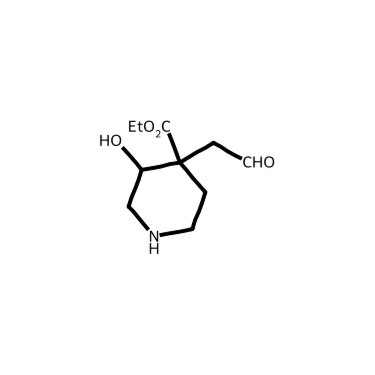 CCOC(=O)C1(CC=O)CCNCC1O